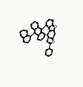 c1ccc(-c2cc3cc4c(cc3o2)oc2cccc(-c3c5ccccc5c(-c5cccc6ccccc56)c5ccccc35)c24)cc1